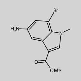 COC(=O)c1cn(C)c2c(Br)cc(N)cc12